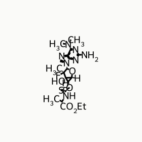 CCOC(=O)[C@H](C)N[PH](=S)OC1[C@H]2O[C@@H](n3cnc4c(N(C)C)nc(N)nc43)[C@](C)(F)[C@@]12O